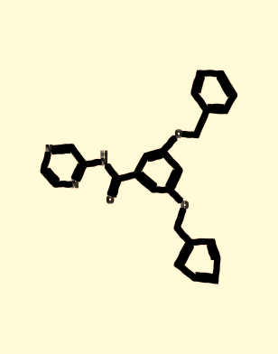 O=C(Nc1cnccn1)c1cc(OCc2ccccc2)cc(OCc2ccccc2)c1